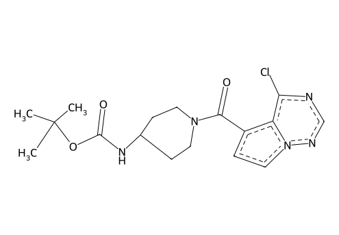 CC(C)(C)OC(=O)NC1CCN(C(=O)c2ccn3ncnc(Cl)c23)CC1